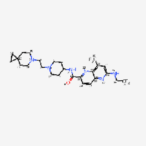 O=C(NC1CCN(CCN2CCC3(CC2)CC3)CC1)c1ccc2nc(NCC(F)(F)F)cc(C(F)(F)F)c2n1